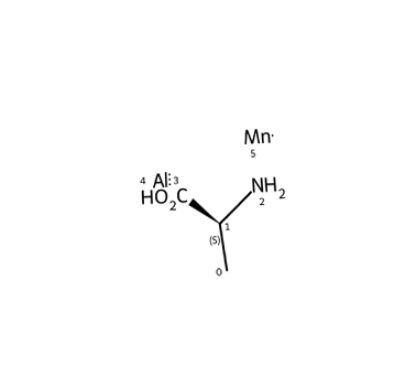 C[C@H](N)C(=O)O.[Al].[Mn]